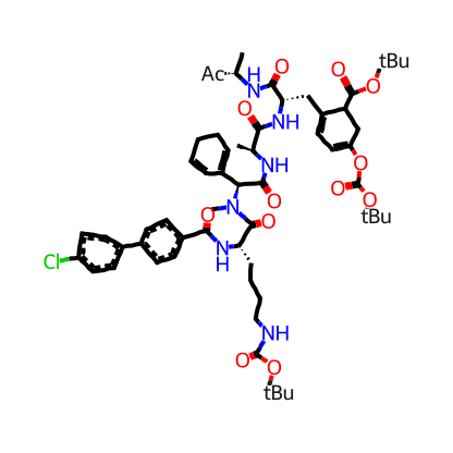 CC(=O)[C@H](C)NC(=O)[C@H](CC1=CC=C(OC(=O)OC(C)(C)C)CC1C(=O)OC(C)(C)C)NC(=O)[C@H](C)NC(=O)[C@H](C1=CCCC=C1)N(C)C(=O)[C@H](CCCCNC(=O)OC(C)(C)C)NC(=O)c1ccc(-c2ccc(Cl)cc2)cc1